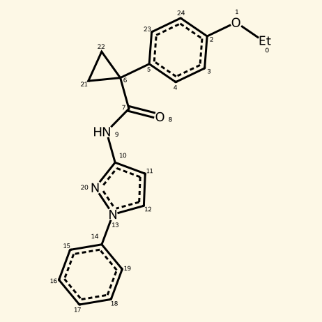 CCOc1ccc(C2(C(=O)Nc3ccn(-c4ccccc4)n3)CC2)cc1